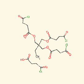 CCC(COC(=O)CCC(=O)Cl)(COC(=O)CCC(=O)Cl)COC(=O)CCC(=O)Cl.O=C(O)CCC(=O)Cl